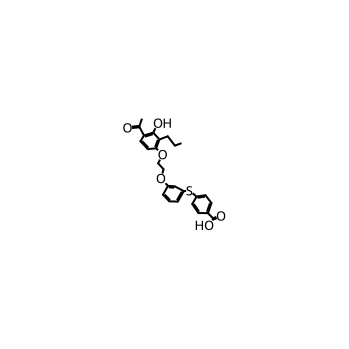 CCCc1c(OCCOc2cccc(Sc3ccc(C(=O)O)cc3)c2)ccc(C(C)=O)c1O